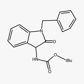 CC(C)(C)OC(=O)NC1C(=O)N(Cc2ccccc2)c2ccccc21